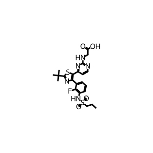 CCCS(=O)(=O)Nc1cccc(-c2nc(C(C)(C)C)sc2-c2ccnc(NCC(=O)O)n2)c1F